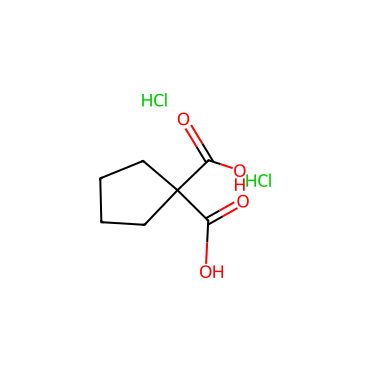 Cl.Cl.O=C(O)C1(C(=O)O)CCCC1